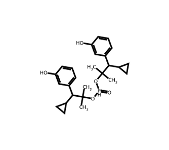 CC(C)(O[PH](=O)OC(C)(C)C(c1cccc(O)c1)C1CC1)C(c1cccc(O)c1)C1CC1